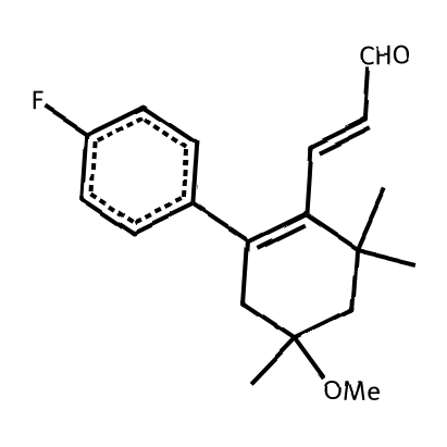 COC1(C)CC(c2ccc(F)cc2)=C(/C=C/C=O)C(C)(C)C1